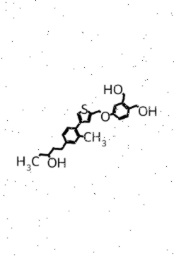 CCC(O)CCc1ccc(-c2csc(COc3ccc(CO)c(CO)c3)c2)c(C)c1